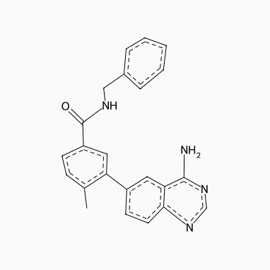 Cc1ccc(C(=O)NCc2ccccc2)cc1-c1ccc2ncnc(N)c2c1